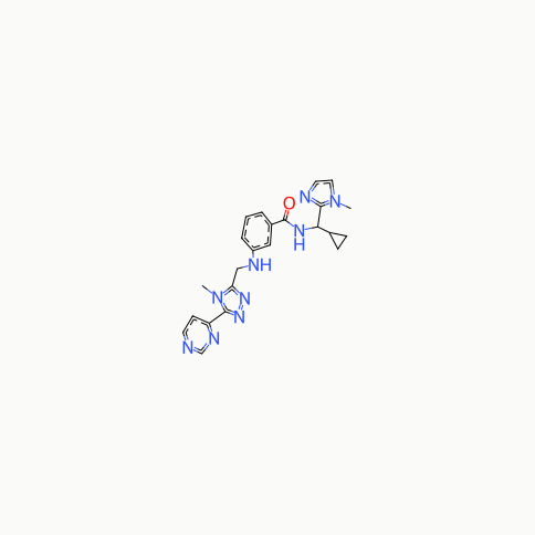 Cn1ccnc1C(NC(=O)c1cccc(NCc2nnc(-c3ccncn3)n2C)c1)C1CC1